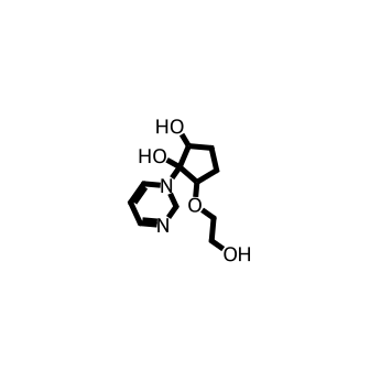 OCCOC1CCC(O)C1(O)N1C=CC=NC1